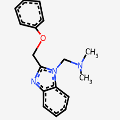 CN(C)Cn1c(COc2ccccc2)nc2ccccc21